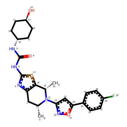 C[C@@H]1Cc2nc(NC(=O)N[C@H]3CC[C@H](O)CC3)sc2[C@H](C)N1c1cc(-c2ccc(F)cc2)on1